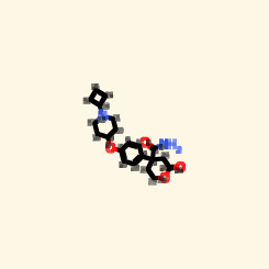 NC(=O)C1(c2ccc(OC3CCN(C4CCC4)CC3)cc2)CCOC(=O)C1